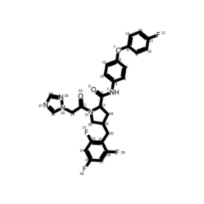 O=C(Nc1ccc(Oc2ccc(F)cc2)cc1)C1CC(Cc2c(F)cc(F)cc2F)CN1C(=O)Cn1cncn1